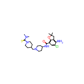 CN(C)C(=S)N1CCC(CN2CCC(NC(=O)c3cc(Cl)c(N)c4c3OC(C)(C)C4)CC2)CC1